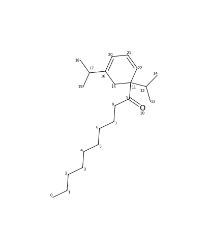 CCCCCCCCCC(=O)C1(C(C)C)[CH]C(C(C)C)=CC=C1